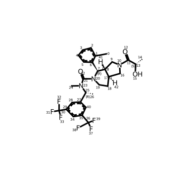 Cc1ccccc1[C@H]1[C@@H]2CN(C(=O)[C@H](C)O)C[C@H]2CCN1C(=O)N(C)[C@H](C)c1cc(C(F)(F)F)cc(C(F)(F)F)c1